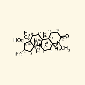 CC(C)[C@H]1C[C@H]2[C@@H]3CC[C@H]4N(C)C(=O)CC[C@]4(C)[C@H]3CC[C@]2(C)[C@H]1O